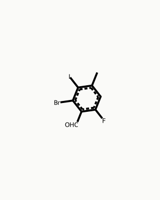 Cc1cc(F)c(C=O)c(Br)c1I